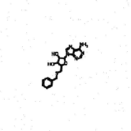 Nc1ncnc2c1ncn2C1OC(CSCc2ccccc2)C(O)C1O